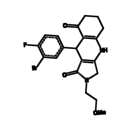 COCCN1CC2=C(C1=O)C(c1ccc(F)c(Br)c1)C1=C(CCCC1=O)N2